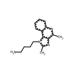 Cc1nc2ccccc2c2c1nc(C)n2CCCCN